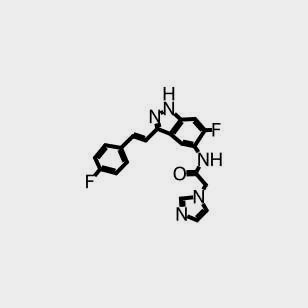 O=C(Cn1ccnc1)Nc1cc2c(C=Cc3ccc(F)cc3)n[nH]c2cc1F